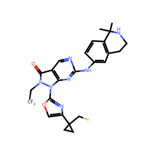 CC1(C)NCCc2cc(Nc3ncc4c(=O)n(CC(F)(F)F)n(-c5nc(C6(CF)CC6)co5)c4n3)ccc21